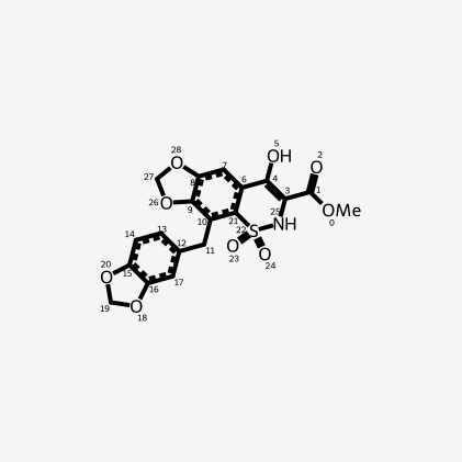 COC(=O)C1=C(O)c2cc3c(c(Cc4ccc5c(c4)OCO5)c2S(=O)(=O)N1)OCO3